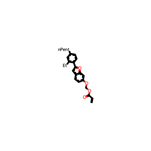 C=CC(=O)OCOc1ccc2cc(-c3ccc(CCCCC)cc3CC)oc2c1